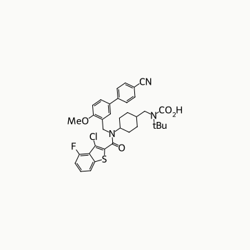 COc1ccc(-c2ccc(C#N)cc2)cc1CN(C(=O)c1sc2cccc(F)c2c1Cl)C1CCC(CN(C(=O)O)C(C)(C)C)CC1